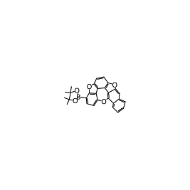 CC1(C)OB(c2ccc3oc4c5ccccc5cc5oc6ccc7oc2c3c7c6c54)OC1(C)C